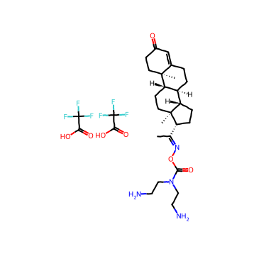 C/C(=N\OC(=O)N(CCN)CCN)[C@H]1CC[C@H]2[C@@H]3CCC4=CC(=O)CC[C@]4(C)[C@H]3CC[C@]12C.O=C(O)C(F)(F)F.O=C(O)C(F)(F)F